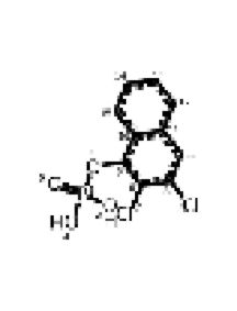 O=P(O)(O)Oc1c(Cl)c(Cl)cc2ccccc12